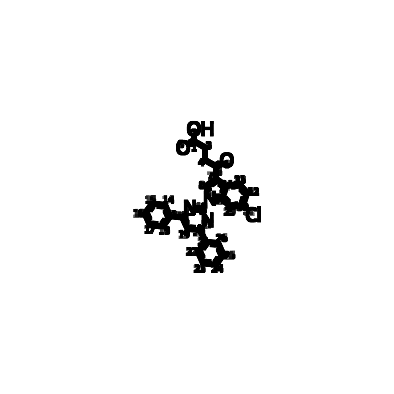 O=C(O)CCC(=O)c1cn(-c2nc(-c3ccccc3)cc(-c3ccccc3)n2)c2cc(Cl)ccc12